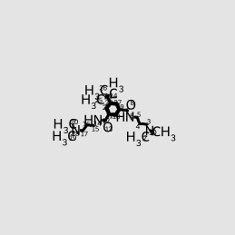 CN(C)CCCNC(=O)c1cc(C(=O)NCCCN(C)C)cc(C(C)(C)C)c1